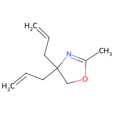 C=CCC1(CC=C)COC(C)=N1